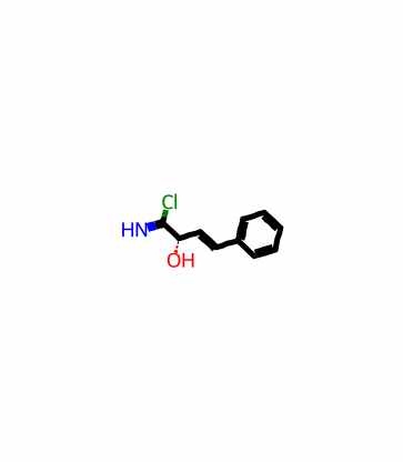 N=C(Cl)[C@@H](O)/C=C/c1ccccc1